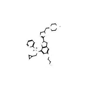 COCCOc1cc2c(c(N(CC3CC3)S(=O)(=O)c3ccccn3)c1)NC(C1=NCC(CN3CC[S+]([O-])CC3)S1)C2